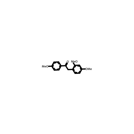 COc1ccc(C(=O)Cc2ccc(OC)cc2OC)cc1